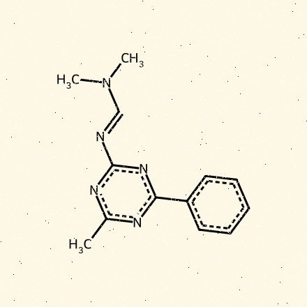 Cc1nc(N=CN(C)C)nc(-c2ccccc2)n1